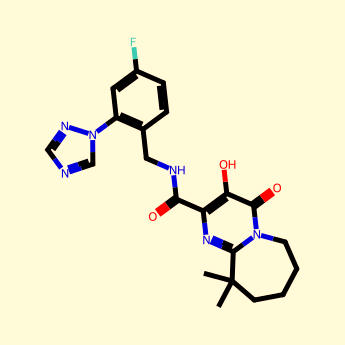 CC1(C)CCCCn2c1nc(C(=O)NCc1ccc(F)cc1-n1cncn1)c(O)c2=O